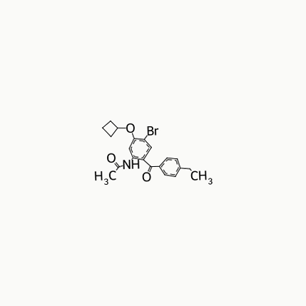 CCc1ccc(C(=O)c2cc(Br)c(OC3CCC3)cc2NC(C)=O)cc1